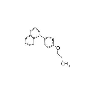 CCCOc1ccc(-c2cccc3ccccc23)cc1